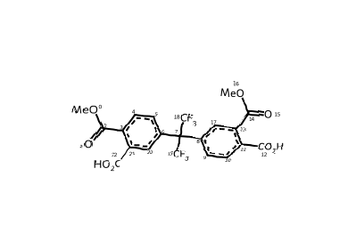 COC(=O)c1ccc(C(c2ccc(C(=O)O)c(C(=O)OC)c2)(C(F)(F)F)C(F)(F)F)cc1C(=O)O